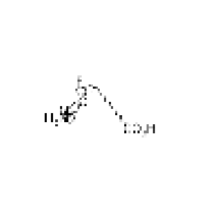 CC(C)(CCCCCCCCCCCC(=O)O)Cc1cc(Oc2ccc(S(N)(=O)=O)cc2)ccc1F